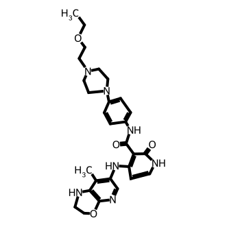 CCOCCN1CCN(c2ccc(NC(=O)c3c(Nc4cnc5c(c4C)NCCO5)cc[nH]c3=O)cc2)CC1